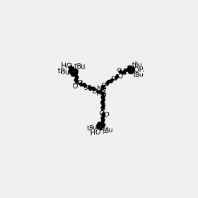 CC(C)(C)c1cc(CCC(=O)OCCSCCCOc2nc(OCCCSCCOC(=O)CCc3cc(C(C)(C)C)c(O)c(C(C)(C)C)c3)nc(OCCCSCCOC(=O)CCc3cc(C(C)(C)C)c(O)c(C(C)(C)C)c3)n2)cc(C(C)(C)C)c1O